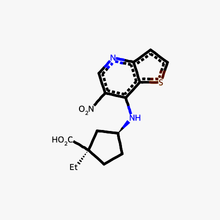 CC[C@@]1(C(=O)O)CC[C@H](Nc2c([N+](=O)[O-])cnc3ccsc23)C1